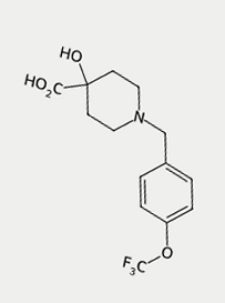 O=C(O)C1(O)CCN(Cc2ccc(OC(F)(F)F)cc2)CC1